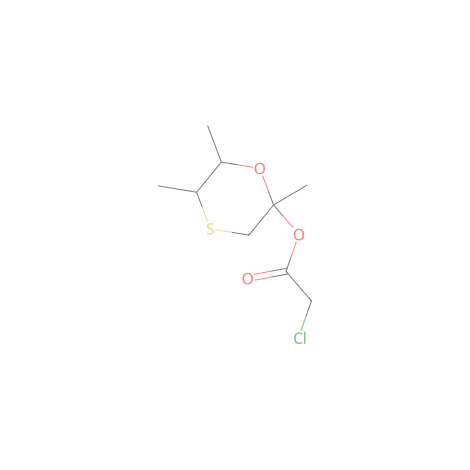 CC1OC(C)(OC(=O)CCl)CSC1C